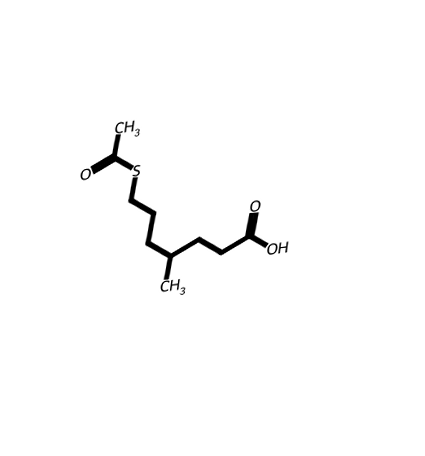 CC(=O)SCCCC(C)CCC(=O)O